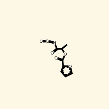 CC(OC(=O)c1ccco1)C(=O)N=C=O